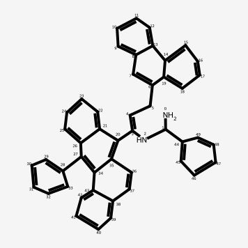 NC(N/C(=C\Cc1cc2ccccc2c2ccccc12)c1c2ccccc2c(-c2ccccc2)c2c1ccc1ccccc12)c1ccccc1